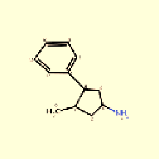 CC1CC(N)CC1c1ccccc1